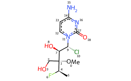 CO[C@@](CO)([C@@H](C)F)[C@@H](O)[C@@H](Cl)n1ccc(N)nc1=O